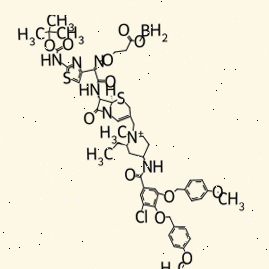 BOC(=O)CCO/N=C(\C(=O)N[C@@H]1C(=O)N2C=C(C[N+]3(C)CC[C@@H](NC(=O)c4cc(Cl)c(OCc5ccc(OC)cc5)c(OCc5ccc(OC)cc5)c4)C[C@H]3CC)CS[C@H]12)c1csc(NC(=O)OC(C)(C)C)n1